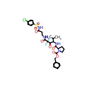 CC(C)C(NC(=O)C1CCCN1C(=O)OCc1ccccc1)C(=O)C(F)(F)C(=O)NCCC(=O)NS(=O)(=O)c1ccc(Cl)cc1